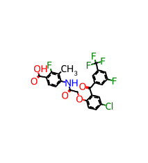 Cc1c(NC(=O)COc2ccc(Cl)cc2C(=O)c2cc(F)cc(C(F)(F)F)c2)ccc(C(=O)O)c1F